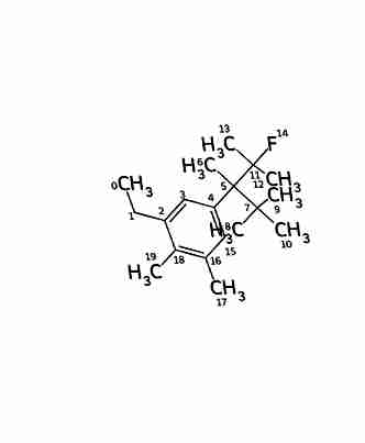 CCc1cc(C(C)(C(C)(C)C)C(C)(C)F)cc(C)c1C